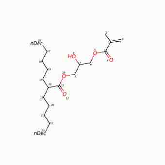 C=C(C)C(=O)OCC(O)COC(=O)C(CCCCCCCCCCCCCC)CCCCCCCCCCCCCC